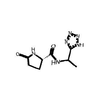 CC(NC(=O)[C@@H]1CCC(=O)N1)c1nnn[nH]1